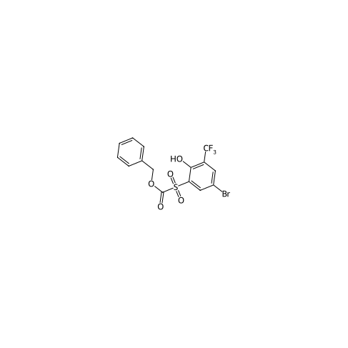 O=C(OCc1ccccc1)S(=O)(=O)c1cc(Br)cc(C(F)(F)F)c1O